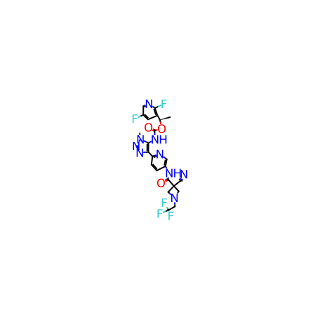 C[C@@H](OC(=O)Nc1c(-c2ccc(NC(=O)C3(C#N)CN(CC(F)(F)F)C3)cn2)nnn1C)c1cc(F)cnc1F